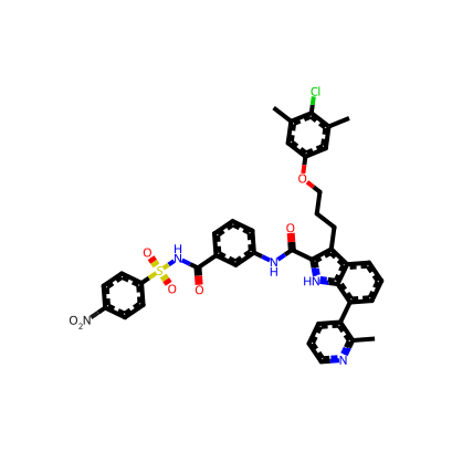 Cc1cc(OCCCc2c(C(=O)Nc3cccc(C(=O)NS(=O)(=O)c4ccc([N+](=O)[O-])cc4)c3)[nH]c3c(-c4cccnc4C)cccc23)cc(C)c1Cl